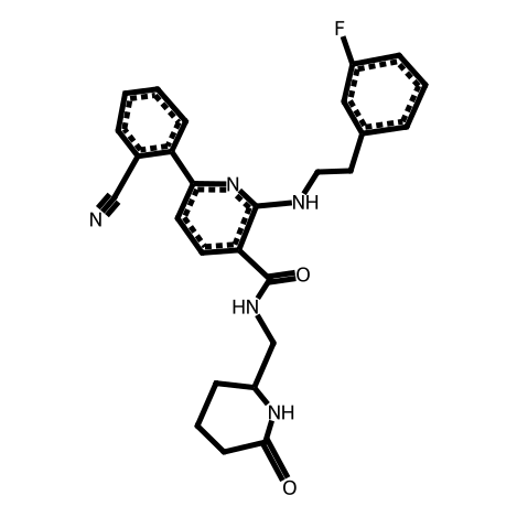 N#Cc1ccccc1-c1ccc(C(=O)NCC2CCCC(=O)N2)c(NCCc2cccc(F)c2)n1